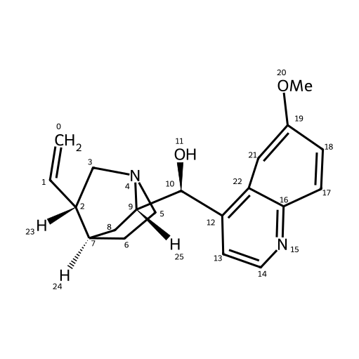 C=C[C@@H]1CN2CC[C@@H]1C[C@H]2[C@@H](O)c1ccnc2ccc(OC)cc12